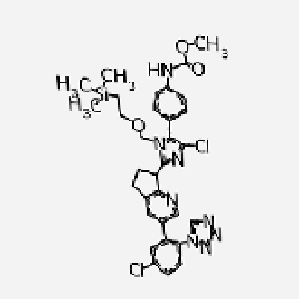 COC(=O)Nc1ccc(-c2c(Cl)nc(C3CCc4cc(-c5cc(Cl)ccc5-n5cnnn5)cnc43)n2COCC[Si](C)(C)C)cc1